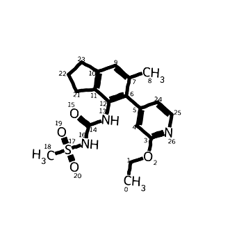 CCOc1cc(-c2c(C)cc3c(c2NC(=O)NS(C)(=O)=O)CCC3)ccn1